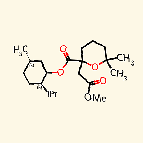 COC(=O)CC1(C(=O)OC2C[C@@H](C)CC[C@@H]2C(C)C)CCCC(C)(C)O1